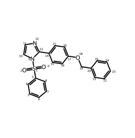 O=S(=O)(c1ccccc1)n1ccnc1-c1ccc(OCc2ccccc2)cc1